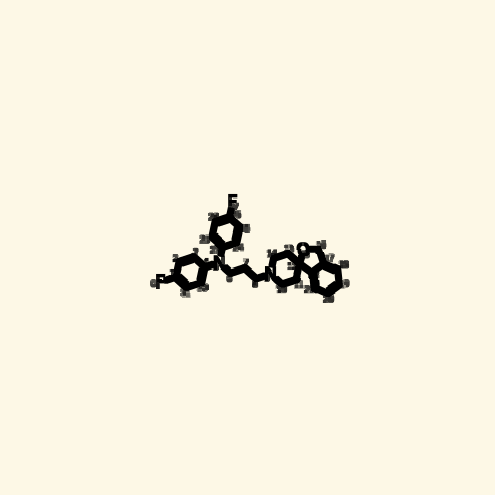 Fc1ccc(N(CCCN2CCC3(CC2)OCc2ccccc23)c2ccc(F)cc2)cc1